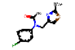 CNc1nc(CN(C(=O)C(C)(C)C)c2ccc(F)cc2)cs1